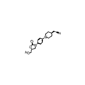 N#CC=C1CCN(c2ccc(N3CC(CO)OC3=O)cc2)CC1